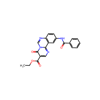 CCOC(=O)c1cnc2c3cc(NC(=O)c4ccccc4)ccc3ncn2c1=O